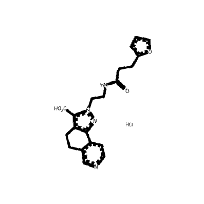 Cl.O=C(CCc1ccco1)NCCn1nc2c(c1C(=O)O)CCc1cnccc1-2